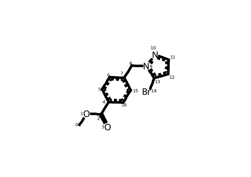 COC(=O)c1ccc(Cn2nccc2Br)cc1